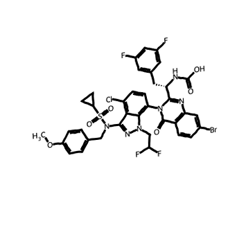 COc1ccc(CN(c2nn(CC(F)F)c3c(-n4c([C@H](Cc5cc(F)cc(F)c5)NC(=O)O)nc5cc(Br)ccc5c4=O)ccc(Cl)c23)S(=O)(=O)C2CC2)cc1